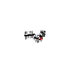 CC(F)(F)C(F)(F)C(F)(F)C(C)(F)OC(F)(F)C(F)(OC(F)(F)C(F)(F)S(=O)(=O)O)C(F)(F)F